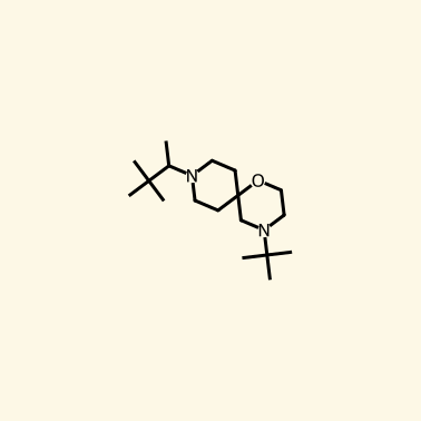 CC(N1CCC2(CC1)CN(C(C)(C)C)CCO2)C(C)(C)C